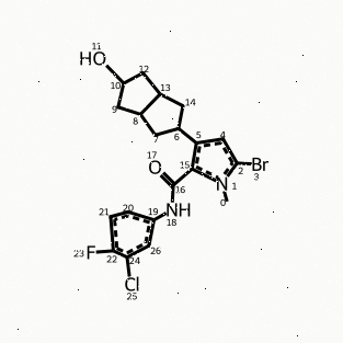 Cn1c(Br)cc(C2CC3CC(O)CC3C2)c1C(=O)Nc1ccc(F)c(Cl)c1